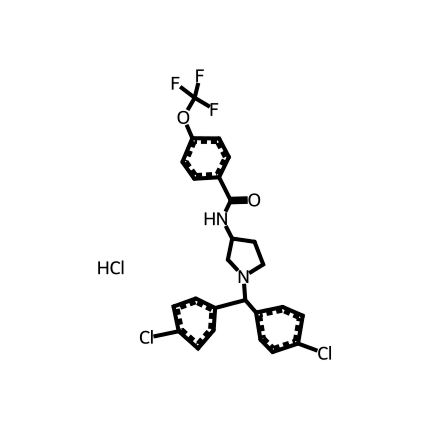 Cl.O=C(NC1CCN(C(c2ccc(Cl)cc2)c2ccc(Cl)cc2)C1)c1ccc(OC(F)(F)F)cc1